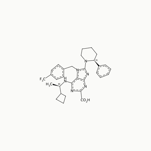 C[C@@H](Nc1nc(C(=O)O)nc2nc(N3CCCC[C@H]3c3ccccc3)n(Cc3ccc(C(F)(F)F)cc3)c12)C1CCC1